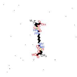 Cc1cc(S(=O)(=O)NC(=O)NCCCCCCNC(=O)NS(=O)(=O)c2cc(C)c(C(=O)O)o2)oc1C(=O)O